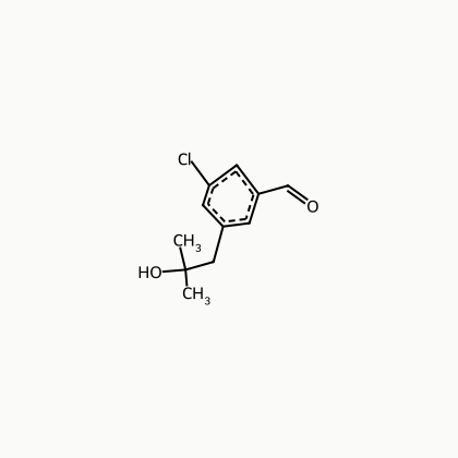 CC(C)(O)Cc1cc(Cl)cc(C=O)c1